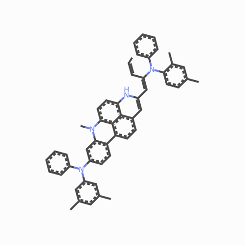 C/C=C\C(=C/C1=Cc2ccc3c4c(ccc(c24)N1)N(C)c1cc(N(c2ccccc2)c2cc(C)cc(C)c2)ccc1-3)N(c1ccccc1)c1ccc(C)cc1C